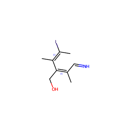 C/C(I)=C(C)\C(CO)=C(\C)C=N